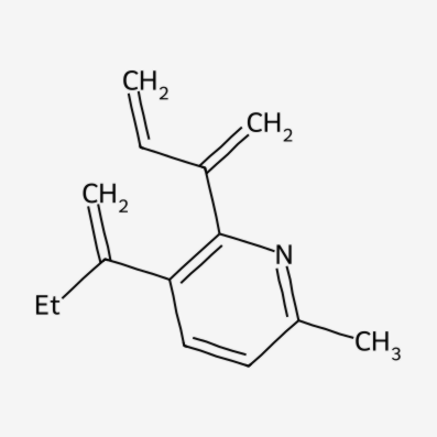 C=CC(=C)c1nc(C)ccc1C(=C)CC